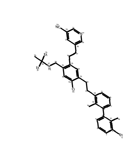 CCc1cccc(-c2cccc(CCc3cc(CCc4cncc(C#N)c4)c(CNC(C)(CC)CC)cc3Cl)c2C)c1C